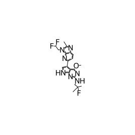 COc1nc(NCC(C)(C)F)nc2[nH]cc(-c3ccc4nc(C)n(CC(F)F)c4n3)c12